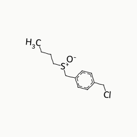 CCCC[S+]([O-])Cc1ccc(CCl)cc1